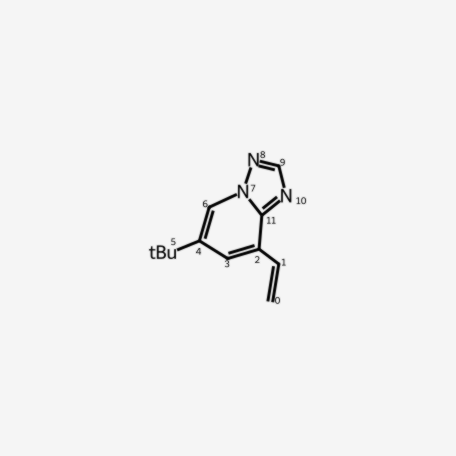 C=Cc1cc(C(C)(C)C)cn2ncnc12